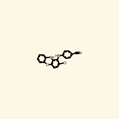 N#Cc1ccc(Nc2c(Cl)ccc3c2Nc2ccccc2O3)cc1